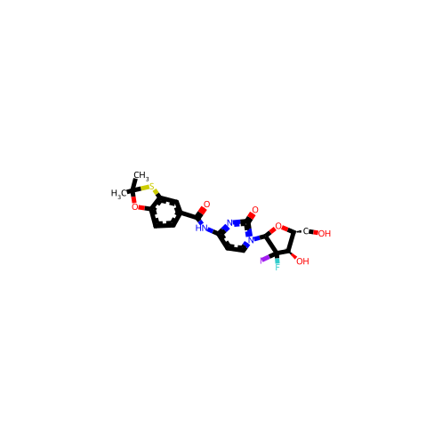 CC1(C)Oc2ccc(C(=O)Nc3ccn(C4O[C@H](CO)[C@@H](O)C4(F)I)c(=O)n3)cc2S1